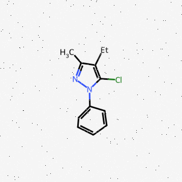 CCc1c(C)nn(-c2ccccc2)c1Cl